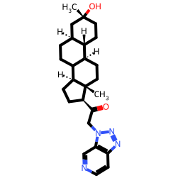 C[C@@]1(O)CC[C@H]2[C@@H](CCC3[C@@H]2CC[C@]2(C)[C@@H](C(=O)Cn4nnc5ccncc54)CC[C@@H]32)C1